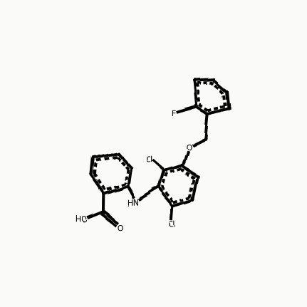 O=C(O)c1ccccc1Nc1c(Cl)ccc(OCc2ccccc2F)c1Cl